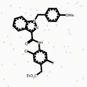 CCOC(=O)Cc1cc(Cl)c(NC(=O)c2nn(Cc3ccc(OC)cc3)c3ccccc23)cc1F